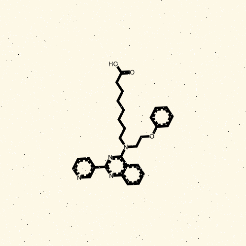 O=C(O)CCCCCCCN(CCOc1ccccc1)c1nc(-c2cccnc2)nc2ccccc12